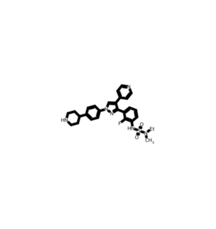 CCN(C)S(=O)(=O)Nc1cccc(-c2nn(-c3ccc(C4CCNCC4)cc3)cc2-c2ccncc2)c1F